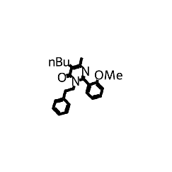 CCCCc1c(C)nc(-c2ccccc2OC)n(CCc2ccccc2)c1=O